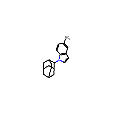 O=[N+]([O-])c1ccc2c(ccn2C2C3CC4CC(C3)CC2C4)c1